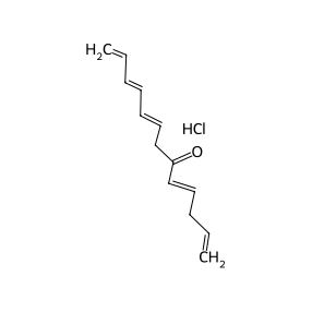 C=CC=CC=CCC(=O)C=CCC=C.Cl